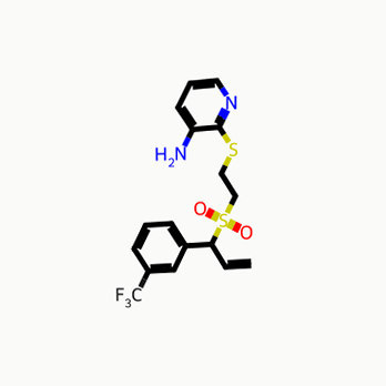 C=CC(c1cccc(C(F)(F)F)c1)S(=O)(=O)CCSc1ncccc1N